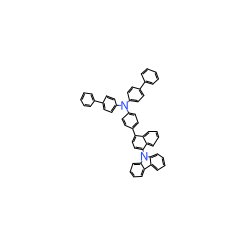 c1ccc(-c2ccc(N(c3ccc(-c4ccccc4)cc3)c3ccc(-c4ccc(-n5c6ccccc6c6ccccc65)c5ccccc45)cc3)cc2)cc1